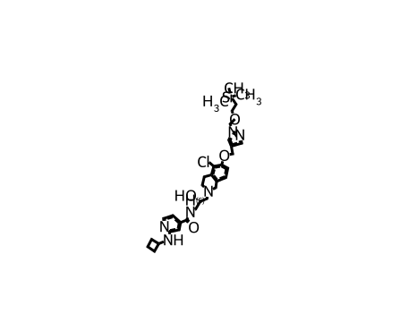 C[Si](C)(C)CCOCn1cc(COc2ccc3c(c2Cl)CCN(C[C@@H](O)CNC(=O)c2ccnc(NC4CCC4)c2)C3)cn1